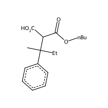 CCCCOC(=O)C(C(=O)O)C(C)(CC)c1ccccc1